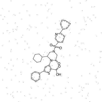 O=C(O)c1sc(-c2ccccc2)cc1N1C(=O)CN(S(=O)(=O)c2ccc(-c3ccccc3)nc2)CC1C1CCCCC1